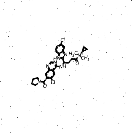 C[N+](C)(C(=O)CCC(Nc1ncnc2cc(C(=O)N3CCCC3)c(Cl)cc12)c1nc2cc(Cl)ccc2[nH]1)C1CC1